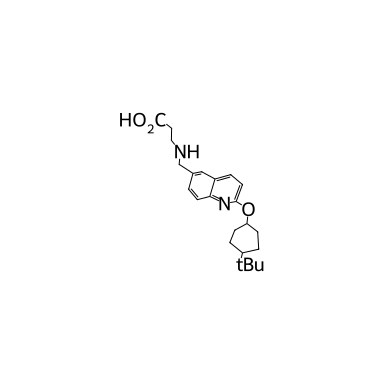 CC(C)(C)C1CCC(Oc2ccc3cc(CNCCC(=O)O)ccc3n2)CC1